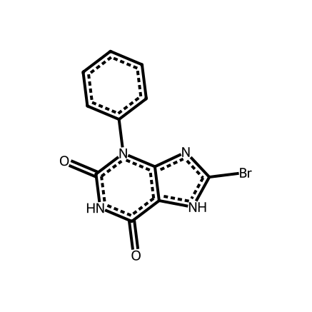 O=c1[nH]c(=O)n(-c2ccccc2)c2nc(Br)[nH]c12